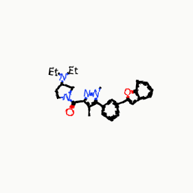 CCN(CC)C1CCN(C(=O)c2nn(C)c(-c3cccc(-c4cc5ccccc5o4)c3)c2C)C1